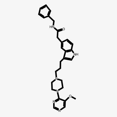 COc1cncnc1N1CCN(CCCc2c[nH]c3ccc(CC(=O)NCc4ccccc4)cc23)CC1